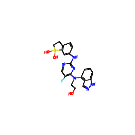 OCCN(c1nc(Nc2ccc3c(c2)S(O)(O)CC3)ncc1F)c1cccc2[nH]ncc12